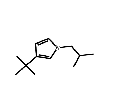 CC(C)Cn1ccc(C(C)(C)C)c1